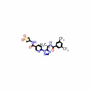 C[C@H](NC(=O)c1cc(C(F)(F)F)cc(C(F)(F)F)c1)c1ncnn1-c1ccc(C(=O)NC2CS(=O)(=O)C2)cn1